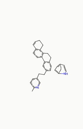 C1=CC2=CC=C(CC2)N1.Cc1ccc(CCc2ccc3c(c2)-c2ccc4c(c2CC3)CCC=C4)cn1